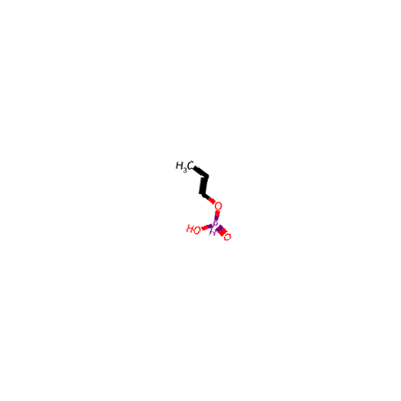 CC=CO[PH](=O)O